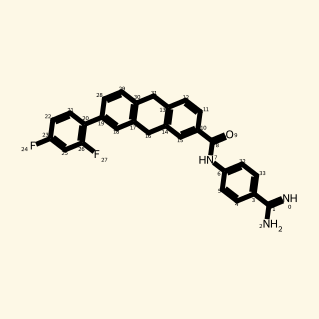 N=C(N)c1ccc(NC(=O)c2ccc3c(c2)Cc2cc(-c4ccc(F)cc4F)ccc2C3)cc1